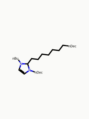 CCCCCCCCCCCCCCCCCC1N(CCCC)C=CN1CCCCCCCCCC